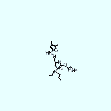 CCCN(CCC)c1cc(/C=N/Nc2cc(C)c(C)o2)nc(OCCNC)n1